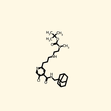 CN(CCNCCCc1cc(C(=O)NCC23CC4CC(CC(C4)C2)C3)c(Cl)cn1)C(=O)OC(C)(C)C